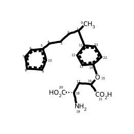 CC(CCCc1ccccc1)c1ccc(OC(C[C@H](N)C(=O)O)C(=O)O)cc1